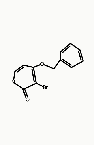 O=C1[N]C=CC(OCc2ccccc2)=C1Br